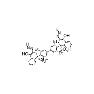 [H]/N=N/C1=C(O)c2ccccc2C(c2c(CC)cc(-c3cc(CC)c(C4(S(=O)(=O)O)CC(/N=N/[H])=C(O)c5ccccc54)c(CC)c3)cc2CC)(S(=O)(=O)O)C1